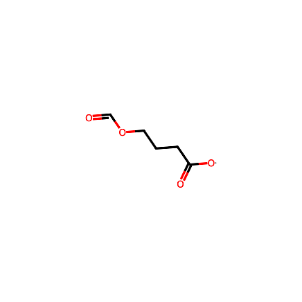 [O]C(=O)CCCOC=O